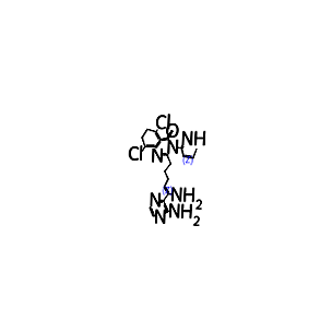 C/C=C\C(=N)n1c(CCC/C=C(\N)c2nccnc2N)nc2c(c1=O)=C(Cl)CCC=2Cl